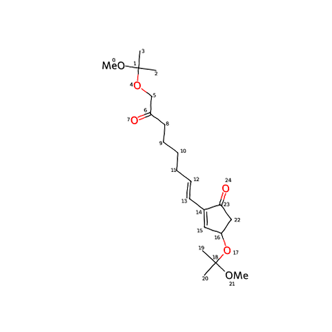 COC(C)(C)OCC(=O)CCCCC=CC1=CC(OC(C)(C)OC)CC1=O